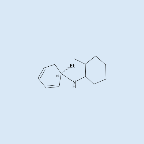 CC[C@]1(NC2CCCCC2C)C=CC=CC1